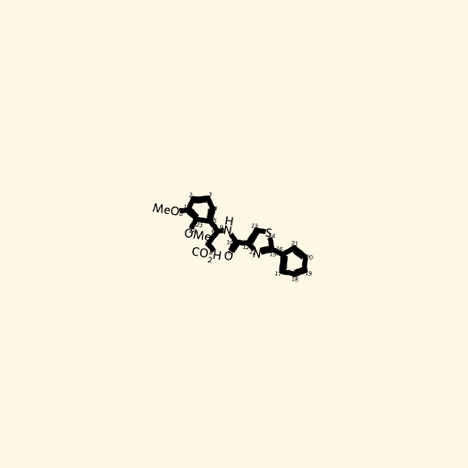 COc1cccc(C(CC(=O)O)NC(=O)c2csc(-c3ccccc3)n2)c1OC